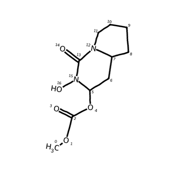 COC(=O)OC1CC2CCCCN2C(=O)N1O